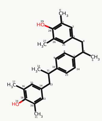 Cc1cc(CC(C)c2ccc(C(C)Cc3cc(C)c(O)c(C)c3)cc2)cc(C)c1O